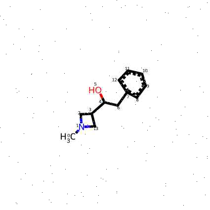 CN1CC(C(O)Cc2ccccc2)C1